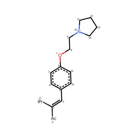 CC(=O)/C(=C/c1ccc(OCCN2CCCC2)cc1)C(C)C